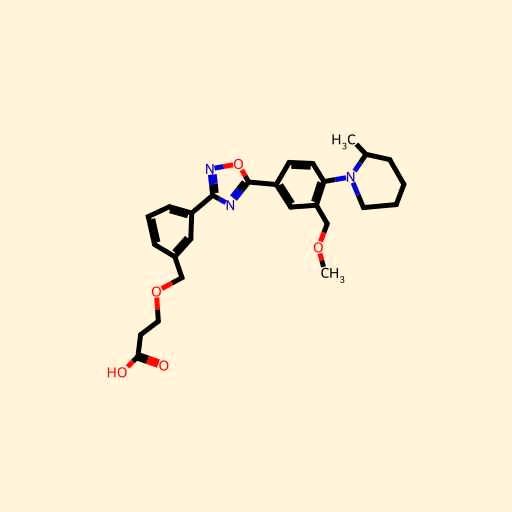 COCc1cc(-c2nc(-c3cccc(COCCC(=O)O)c3)no2)ccc1N1CCCCC1C